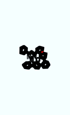 c1ccc(-c2cc(-c3ccccc3)nc(-n3c4ccccc4c4ccc5c(c43)Oc3ccccc3-c3ccccc3-5)n2)cc1